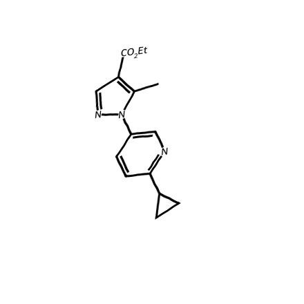 CCOC(=O)c1cnn(-c2ccc(C3CC3)nc2)c1C